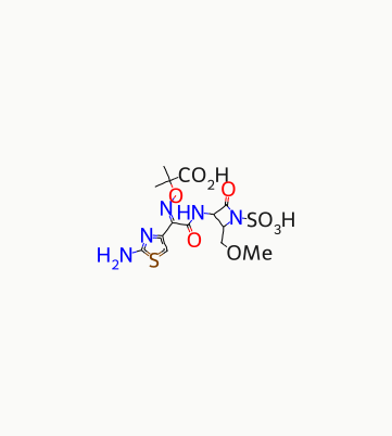 COCC1C(NC(=O)/C(=N\OC(C)(C)C(=O)O)c2csc(N)n2)C(=O)N1S(=O)(=O)O